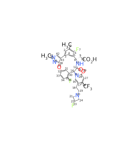 Cc1cc2cc(c1F)[C@H](CC(=O)O)NC(=O)[C@@H](n1cc(CCN3CC(F)C3)c(C(F)(F)F)cc1=O)c1cc(ccc1F)Oc1nn(C)cc1-2